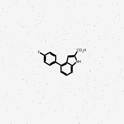 O=C(O)c1cc2c(-c3ccc(F)cc3)cccc2[nH]1